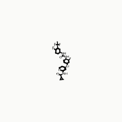 CC(F)(F)c1cc(NC(=O)Nc2ccc(Oc3ccnc(NC(=O)C4CC4)c3)cc2F)ccc1F